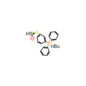 CCCC[P+](c1ccccc1)(c1ccccc1)c1ccccc1.[O-][SiH]=S